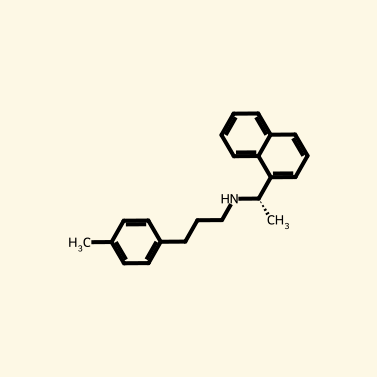 Cc1ccc(CCCN[C@@H](C)c2cccc3ccccc23)cc1